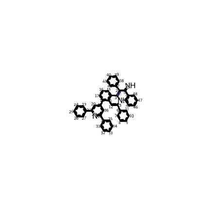 N=C(/C(=C1\NC(c2ccccc2)=Cc2c1cccc2-c1cc(-c2ccccc2)nc(-c2ccccc2)c1)c1ccccc1)c1ccccc1